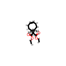 CCOC(=O)C1(C(=O)OCC)[C@@H]2CC/C=C\CC[C@@H]21